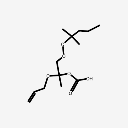 C=CCOC(C)(COOC(C)(C)CCC)OC(=O)O